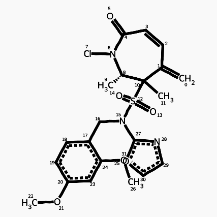 C=C1C=CC(=O)N(Cl)[C@@H](C)C1(C)S(=O)(=O)N(Cc1ccc(OC)cc1OC)c1ncco1